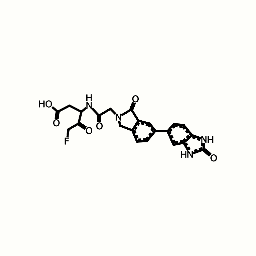 O=C(O)CC(NC(=O)CN1Cc2ccc(-c3ccc4[nH]c(=O)[nH]c4c3)cc2C1=O)C(=O)CF